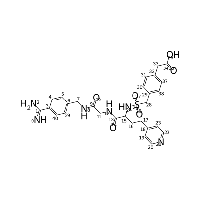 N=C(N)c1ccc(CNC(=O)CNC(=O)C(CCc2ccncc2)NS(=O)(=O)Cc2ccc(CC(=O)O)cc2)cc1